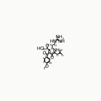 COc1ccc(C(=O)N(C(=O)[C@@H](N)CC(C)C)[C@H](C=O)CCCNC(=N)N)cc1.Cl